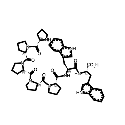 O=C(O)[C@H](Cc1c[nH]c2ccccc12)NC(=O)[C@H](Cc1c[nH]c2ccccc12)NC(=O)[C@@H]1CCCN1C(=O)[C@@H]1CCCN1C(=O)[C@@H]1CCCN1C(=O)[C@@H]1CCCN1C(=O)[C@@H]1CCCN1